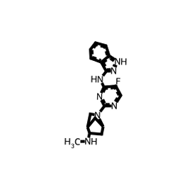 CNC1CC2CC1CN2c1ncc(F)c(Nc2n[nH]c3ccccc23)n1